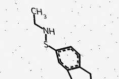 CCNSc1ccc(CO)c(Br)c1